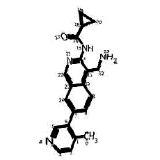 Cc1ccncc1-c1ccc2c(CN)c(NC(=O)C3CC3)ncc2c1